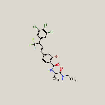 CCNC(=O)C(C)NC(=O)c1ccc(/C=C/C(c2cc(Cl)c(Cl)c(Cl)c2)C(F)(F)F)cc1Br